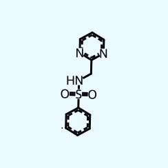 O=S(=O)(NCc1ncccn1)c1c[c]ccc1